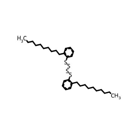 CCCCCCCCCCc1ccccc1SSSSc1ccccc1CCCCCCCCCC